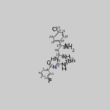 CC(C)(C)N/C(=N/C(=O)c1cccc(F)c1)NC(N)CC(N)c1ccc(Cl)cc1